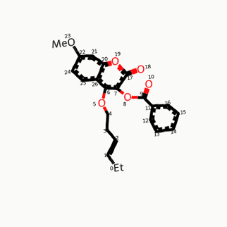 CCC=CCCOc1c(OC(=O)c2ccccc2)c(=O)oc2cc(OC)ccc12